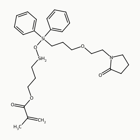 C=C(C)C(=O)OCCC[SiH2]O[Si](CCCOCCN1CCCC1=O)(c1ccccc1)c1ccccc1